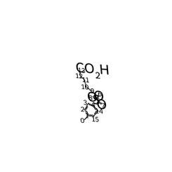 Cc1ccc(S(=O)(=O)OCCCCC(=O)O)cc1